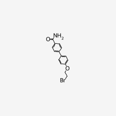 NC(=O)c1ccc(-c2ccc(OCCBr)cc2)cc1